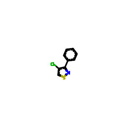 Clc1csnc1-c1ccccc1